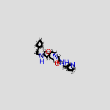 O=C(CN1CCC2(CC1)CC(NC1CC1c1ccccc1)CO2)NCc1cccnc1